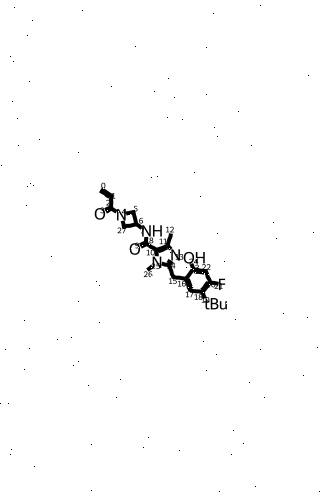 C=CC(=O)N1CC(NC(=O)c2c(C)nc(Cc3cc(C(C)(C)C)c(F)cc3O)n2C)C1